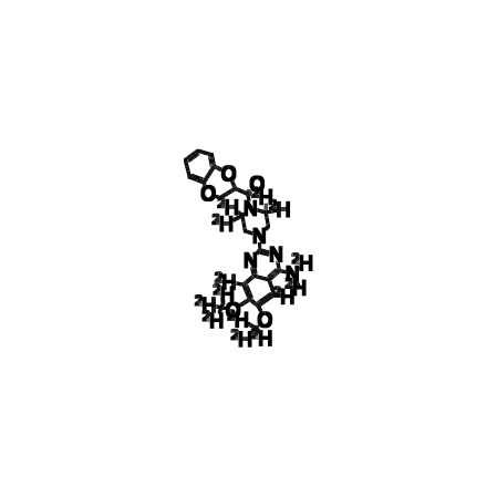 [2H]c1c(OC([2H])([2H])[2H])c(OC([2H])([2H])[2H])c([2H])c2c(N([2H])[2H])nc(N3CC([2H])([2H])N(C(=O)C4COc5ccccc5O4)C([2H])([2H])C3)nc12